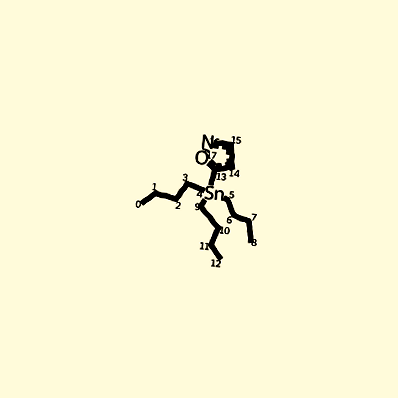 CCC[CH2][Sn]([CH2]CCC)([CH2]CCC)[c]1ccno1